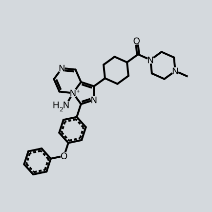 CN1CCN(C(=O)C2CCC(C3=C4C=NC=C[N+]4(N)C(c4ccc(Oc5ccccc5)cc4)=N3)CC2)CC1